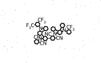 N#Cc1cccc(C(F)(F)F)c1-n1c2ccc(-c3ccc(C#N)c(-n4c5ccccc5c5c6c7ccccc7n(-c7ccccc7C(F)(F)F)c6ccc54)c3C#N)cc2c2c3c4ccccc4n(-c4cc(C(F)(F)F)cc(C(F)(F)F)c4)c3ccc21